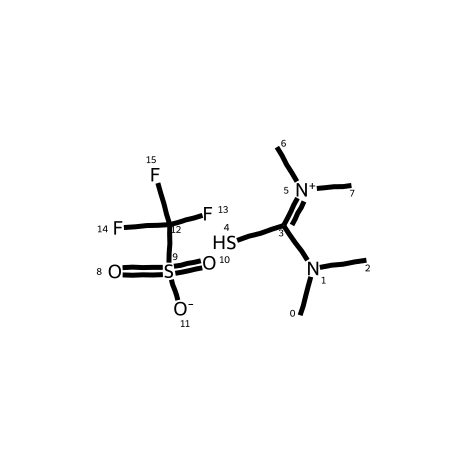 CN(C)C(S)=[N+](C)C.O=S(=O)([O-])C(F)(F)F